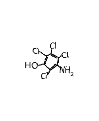 Nc1c(Cl)c(O)c(Cl)c(Cl)c1Cl